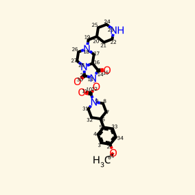 COc1ccc(C2CCN(C(=O)ON3C(=O)C4CN(CC5CCNCC5)CCN4C3=O)CC2)cc1